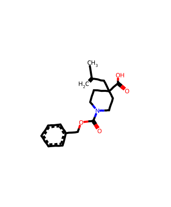 C=C(C)CC1(C(=O)O)CCN(C(=O)OCc2ccccc2)CC1